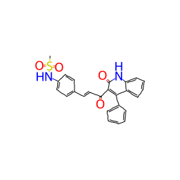 CS(=O)(=O)Nc1ccc(/C=C/C(=O)c2c(-c3ccccc3)c3ccccc3[nH]c2=O)cc1